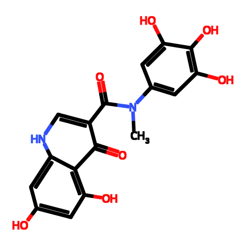 CN(C(=O)c1c[nH]c2cc(O)cc(O)c2c1=O)c1cc(O)c(O)c(O)c1